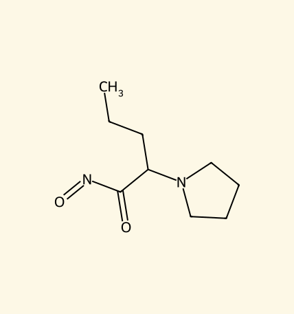 CCCC(C(=O)N=O)N1CCCC1